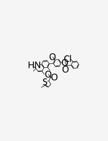 COc1cc(OC(=O)c2ccccc2Cl)ccc1-c1ccc2c(c1COC(=O)C1CC=C(C)S1)C(C)=CC(C)(C)N2